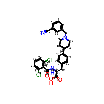 N#Cc1cccc(CN2CCC(c3ccc(C[C@H](NC(=O)c4c(Cl)cccc4Cl)C(=O)O)cc3)CC2)c1